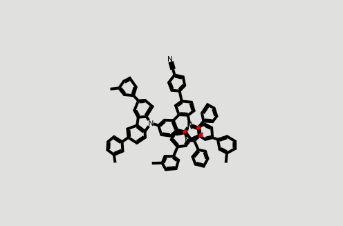 Cc1cccc(-c2ccc3c(c2)c2cc(-c4cccc(C)c4)ccc2n3-c2ccc(-c3nc(-c4ccccc4)nc(-c4ccccc4)n3)c(-c3cc(-c4ccc(C#N)cc4)ccc3-n3c4ccc(-c5cccc(C)c5)cc4c4cc(-c5cccc(C)c5)ccc43)c2)c1